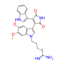 COc1cc2c(C3=C(c4c[nH]c5ccccc45)C(=O)NC3=O)cn(CCCSC(=N)N)c2cc1OC